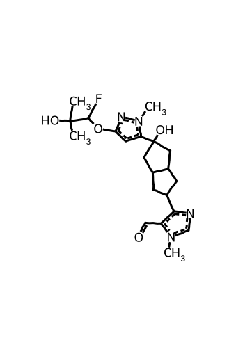 Cn1cnc(C2CC3CC(O)(c4cc(OC(F)C(C)(C)O)nn4C)CC3C2)c1C=O